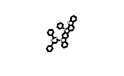 c1ccc(-c2cc(-n3c4ccccc4c4cc5c6ccc7c8ccccc8oc7c6n(-c6ccccc6)c5cc43)nc(-c3ccccc3)n2)cc1